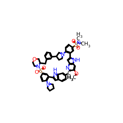 COc1cnc2cc(-c3cc(S(=O)(=O)N(C)C)ccc3N3CCC(c4cccc(CC5COCCN5S(=O)(=O)c5ccc(N6CCCC6)c(-c6cc7ccc(C)cc7[nH]6)c5)c4)C3)[nH]c2c1